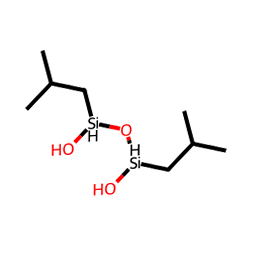 CC(C)C[SiH](O)O[SiH](O)CC(C)C